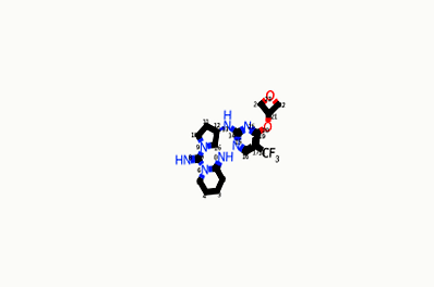 N=C1CCCCN1C(=N)N1CC[C@@H](Nc2ncc(C(F)(F)F)c(OC3COC3)n2)C1